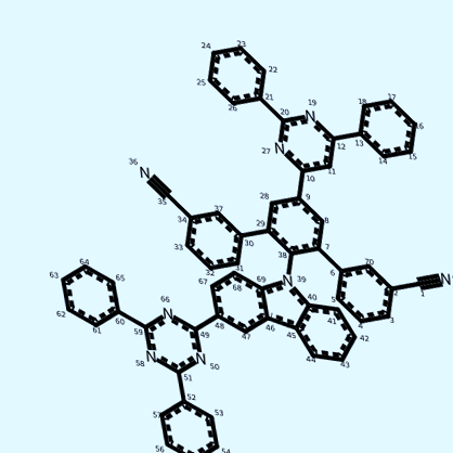 N#Cc1cccc(-c2cc(-c3cc(-c4ccccc4)nc(-c4ccccc4)n3)cc(-c3cccc(C#N)c3)c2-n2c3ccccc3c3cc(-c4nc(-c5ccccc5)nc(-c5ccccc5)n4)ccc32)c1